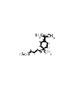 CCCCCCCCCCCCSC1(C)CCC(=C(C)C)CC1